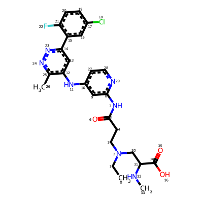 CCN(CCC(=O)Nc1cc(Nc2cc(-c3cc(Cl)ccc3F)nnc2C)ccn1)CC(NC)C(=O)O